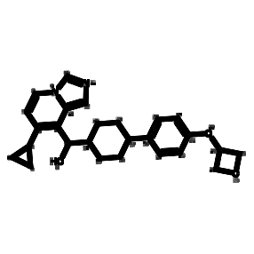 OC(c1c(C2CC2)ccn2cncc12)C1CCC(c2ccc(OC3COC3)cc2)CC1